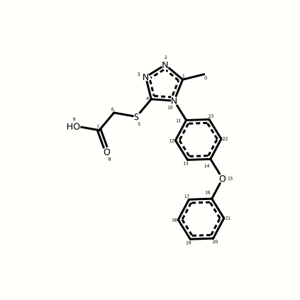 Cc1nnc(SCC(=O)O)n1-c1ccc(Oc2ccccc2)cc1